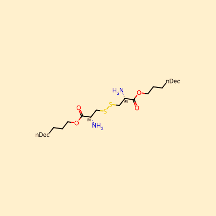 CCCCCCCCCCCCCOC(=O)[C@@H](N)CSSC[C@H](N)C(=O)OCCCCCCCCCCCCC